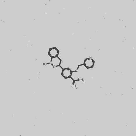 C=C(N)c1ccc(C2Cc3ccccc3B(O)O2)cc1OCc1cccnc1